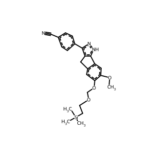 COc1cc2c(cc1OCOCC[Si](C)(C)C)Cc1c(-c3ccc(C#N)cc3)n[nH]c1-2